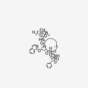 CC(C)(C)OC(=O)NC1CCCCC/C=C/C2CC2(C(=O)NS(=O)(=O)C2(Cc3ccccc3)CC2)NC(=O)C2CC(Oc3nccc4ccccc34)CN2C1=O